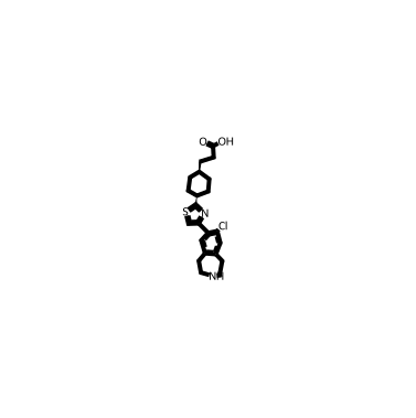 O=C(O)CC[C@H]1CC[C@H](c2nc(-c3cc4c(cc3Cl)CCNCC4)cs2)CC1